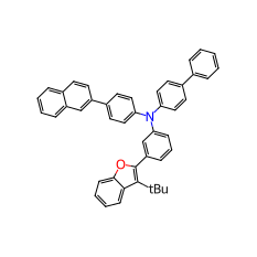 CC(C)(C)c1c(-c2cccc(N(c3ccc(-c4ccccc4)cc3)c3ccc(-c4ccc5ccccc5c4)cc3)c2)oc2ccccc12